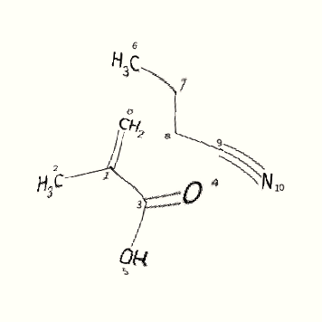 C=C(C)C(=O)O.CCCC#N